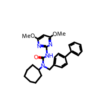 COc1cc(OC)nc(NC(=O)N(Cc2ccc(-c3ccccc3)cc2)C2CCCCCC2)n1